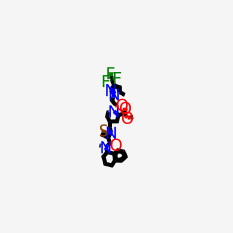 COC(=O)C1CC(c2nc(C(=O)N(C)C3CCCc4ccccc43)cs2)CCN1C(=O)Cn1nc(C(F)(F)F)cc1C